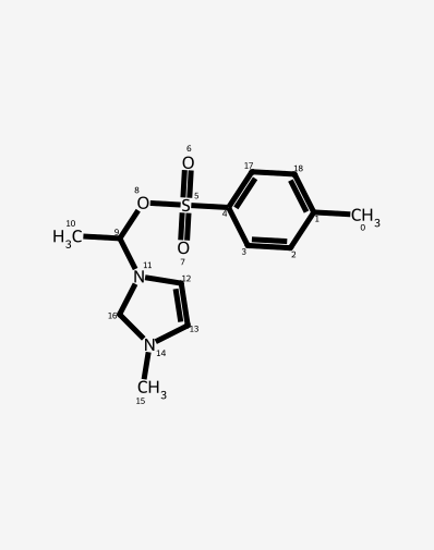 Cc1ccc(S(=O)(=O)OC(C)N2C=CN(C)C2)cc1